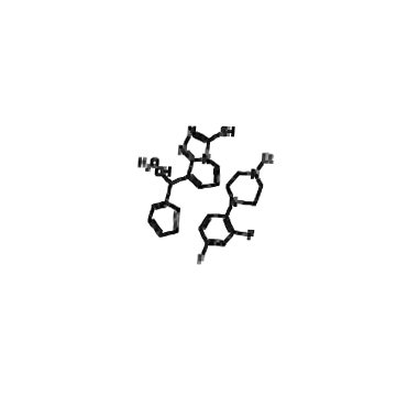 CCN1CCN(c2ccc(F)cc2F)CC1.O.OC(c1ccccc1)c1cccn2c(S)nnc12